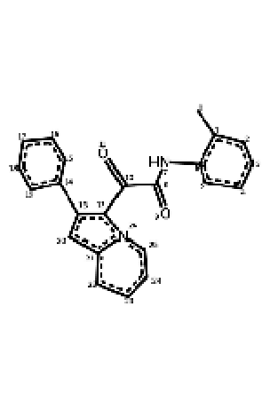 Cc1ccccc1NC(=O)C(=O)c1c(-c2ccccc2)cc2ccccn12